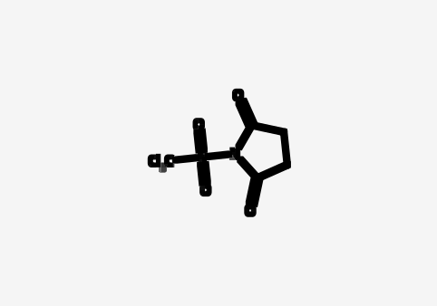 O=C1CCC(=O)N1S(=O)(=O)C(Cl)(Cl)Cl